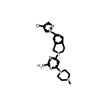 CN1CCN(c2cc(N3CCc4ccc(-n5cc(Cl)cn5)cc4C3)nc(N)n2)CC1